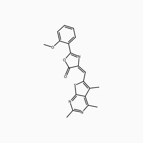 COc1ccccc1C1=NC(=Cc2sc3nc(C)nc(C)c3c2C)C(=O)O1